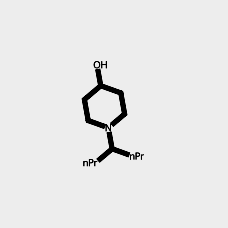 CCCC(CCC)N1CCC(O)CC1